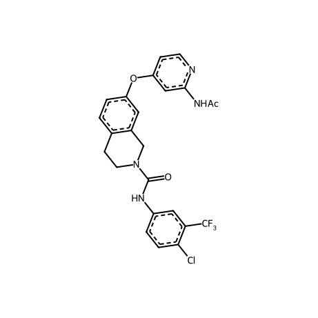 CC(=O)Nc1cc(Oc2ccc3c(c2)CN(C(=O)Nc2ccc(Cl)c(C(F)(F)F)c2)CC3)ccn1